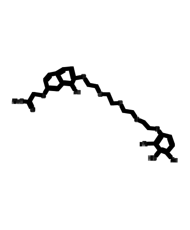 CCCc1c(OCCOCCOCCOCCOc2ccc3ccc(OCC(=O)OC)cc3c2C(C)=O)ccc(C(C)=O)c1O